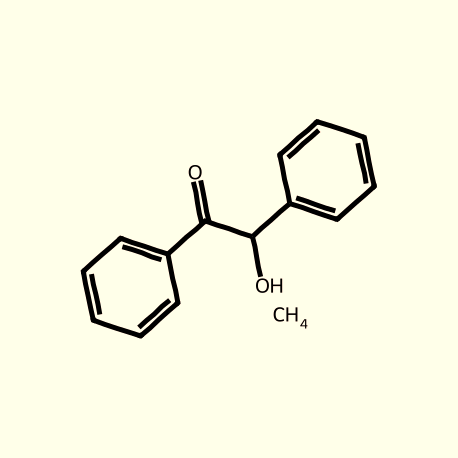 C.O=C(c1ccccc1)C(O)c1ccccc1